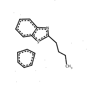 CCCCc1nc2ccccc2s1.c1ccccc1